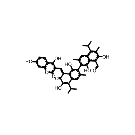 Cc1cc2c(c(O)c1-c1c(C)cc3c(C(C)C)c(C)c(O)c(C=O)c3c1O)/C(=C/c1c(O)c3ccc(O)cc3oc1=O)C(=O)C(O)=C2C(C)C